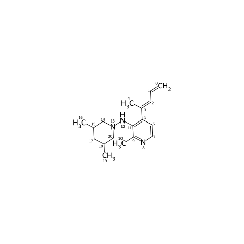 C=C/C=C(\C)c1ccnc(C)c1NN1CC(C)CC(C)C1